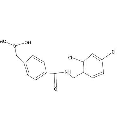 O=C(NCc1ccc(Cl)cc1Cl)c1ccc(CB(O)O)cc1